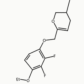 CCOc1ccc(OCC2=CCC(C)CO2)c(F)c1F